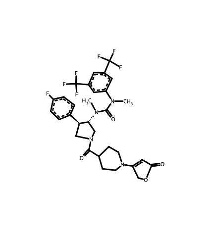 CN(C(=O)N(C)[C@@H]1CN(C(=O)C2CCN(C3=CC(=O)OC3)CC2)C[C@H]1c1ccc(F)cc1)c1cc(C(F)(F)F)cc(C(F)(F)F)c1